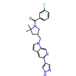 CC1(C)CC(Cn2ccc3cc(-c4cn[nH]c4)ncc32)CN1C(=O)c1cccc(F)c1